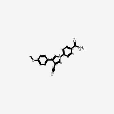 COc1ccc(-c2cn(-c3ccc(C(N)=O)cc3)cc2C#N)cc1